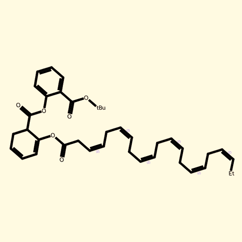 CC/C=C\C/C=C\C/C=C\C/C=C\C/C=C\C/C=C\CC(=O)OC1=CC=CCC1C(=O)Oc1ccccc1C(=O)OC(C)(C)C